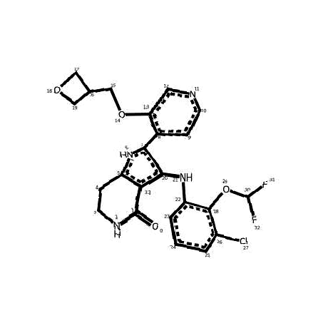 O=C1NCCc2[nH]c(-c3ccncc3OCC3COC3)c(Nc3cccc(Cl)c3OC(F)F)c21